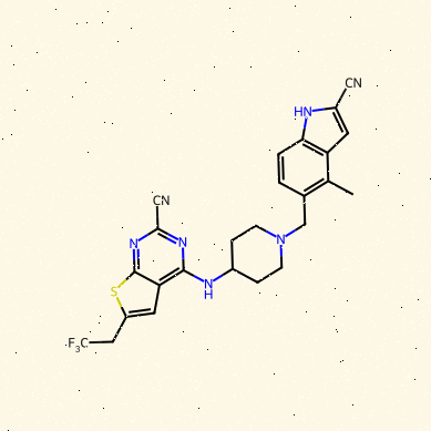 Cc1c(CN2CCC(Nc3nc(C#N)nc4sc(CC(F)(F)F)cc34)CC2)ccc2[nH]c(C#N)cc12